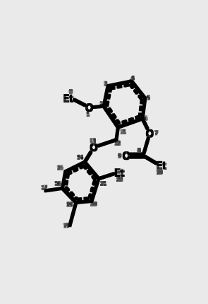 CCOc1cccc(OC(=O)CC)c1COc1cc(C)c(C)cc1CC